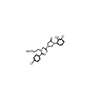 COCCN(CC(=O)N1CC(=O)N(c2cccc(Cl)c2C)C1)C(=O)c1ccc(Cl)cc1